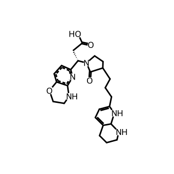 O=C(O)C[C@@H](c1ccc2c(n1)NCCO2)N1CCC(CCCC2=CC=C3CCCNC3N2)C1=O